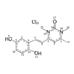 Cc1cc(C=Cc2cc(O)ccc2O)[n+](C)c(=O)n1C.[Cl-]